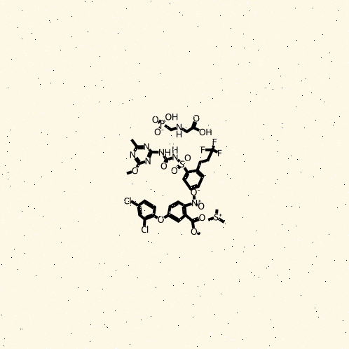 COC(=O)c1cc(Oc2ccc(Cl)cc2Cl)ccc1[N+](=O)[O-].COc1nc(C)nc(NC(=O)NS(=O)(=O)c2ccccc2CCC(F)(F)F)n1.C[S+](C)C.O=C(O)CNCP(=O)([O-])O